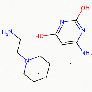 NCCN1CCCCC1.Nc1cc(O)nc(O)n1